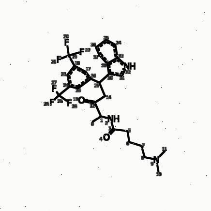 CC(NC(=O)CCCCN(C)C)C(=O)CC(c1cc(C(F)(F)F)cc(C(F)(F)F)c1)c1c[nH]c2ccccc12